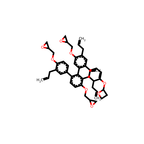 C=CCc1cc(-c2ccc(OCC3CO3)c(CC=C)c2-c2cc(OCC3CO3)c(CC=C)cc2C2=CC=C(OC3CCO3)C(CC=C)C2)ccc1OCC1CO1